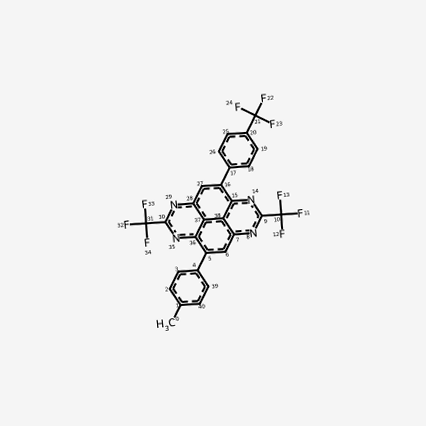 Cc1ccc(-c2cc3nc(C(F)(F)F)nc4c(-c5ccc(C(F)(F)F)cc5)cc5nc(C(F)(F)F)nc2c5c34)cc1